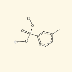 CCOP(=O)(OCC)c1cc(C)ccn1